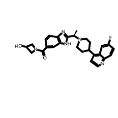 C[C@H](c1nc2ccc(C(=O)N3CC(O)C3)cc2[nH]1)N1CCC(c2ccnc3ccc(F)cc23)CC1